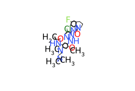 C=CC(=O)Nc1cc(Nc2ncc(Cl)c(-n3c(=O)n4c5c(cc(F)cc53)CCC4)n2)c(OC)cc1N(C)CCN(C)C